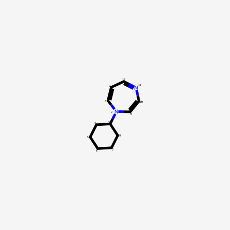 C1=CN(C2CCCCC2)C=CN=C1